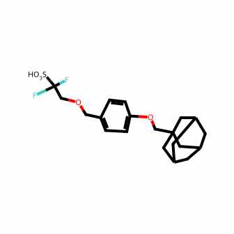 O=S(=O)(O)C(F)(F)COCc1ccc(OCC23CC4CC(CC(C4)C2)C3)cc1